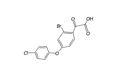 O=C(O)C(=O)c1ccc(Oc2ccc(Cl)cc2)cc1Br